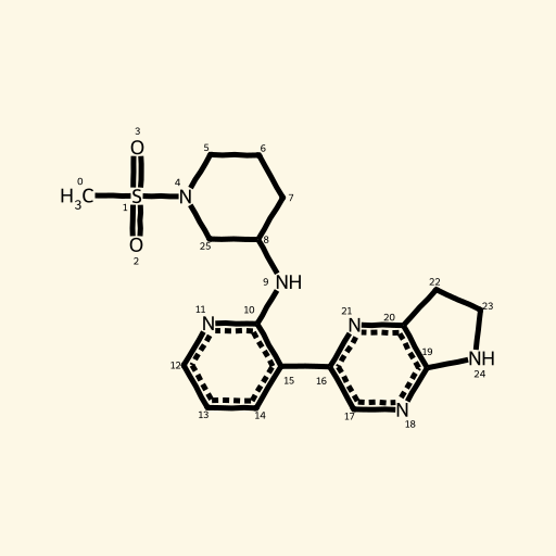 CS(=O)(=O)N1CCCC(Nc2ncccc2-c2cnc3c(n2)CCN3)C1